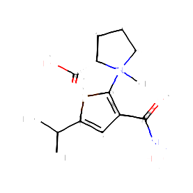 CC(C)c1cc(C(N)=O)c([N+]2(C)CCC[C@H]2C(=O)O)s1.O